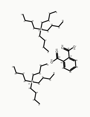 CCCC[P+](CCCC)(CCCC)CCCC.CCCC[P+](CCCC)(CCCC)CCCC.O=C([O-])c1ccccc1C(=O)[O-]